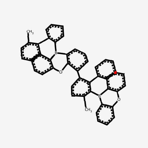 Cc1ccccc1-c1ccccc1B1c2ccccc2Oc2c1cccc2-c1ccc(C)c(B2c3ccccc3Oc3ccccc32)c1-c1ccccc1